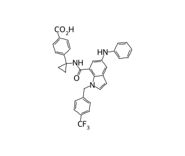 O=C(O)c1ccc(C2(NC(=O)c3cc(Nc4ccccc4)cc4ccn(Cc5ccc(C(F)(F)F)cc5)c34)CC2)cc1